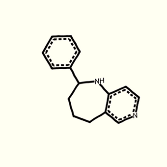 c1ccc(C2CCCc3cnccc3N2)cc1